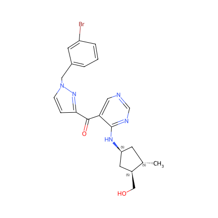 C[C@H]1C[C@H](Nc2ncncc2C(=O)c2ccn(Cc3cccc(Br)c3)n2)C[C@@H]1CO